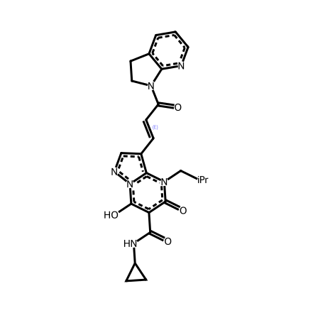 CC(C)Cn1c(=O)c(C(=O)NC2CC2)c(O)n2ncc(/C=C/C(=O)N3CCc4cccnc43)c12